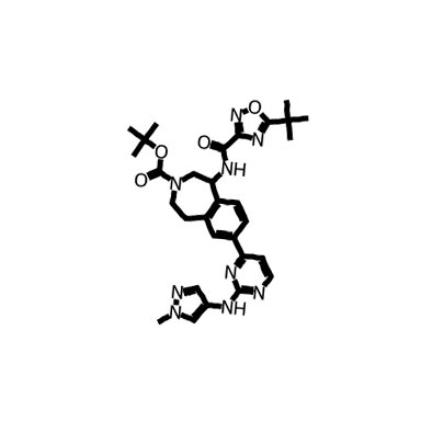 Cn1cc(Nc2nccc(-c3ccc4c(c3)CCN(C(=O)OC(C)(C)C)CC4NC(=O)c3noc(C(C)(C)C)n3)n2)cn1